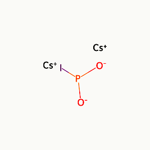 [Cs+].[Cs+].[O-]P([O-])I